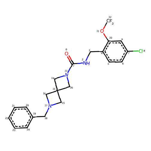 O=C(NCc1ccc(Cl)cc1OC(F)(F)F)N1CC2(CN(Cc3ccccc3)C2)C1